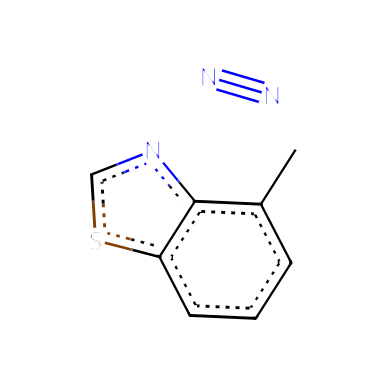 Cc1cccc2scnc12.N#N